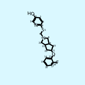 Oc1ccc(SCN2CC3CC(Oc4ccccc4F)CC3C2)nc1